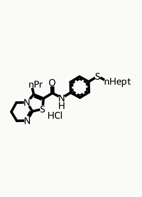 CCCCCCCSc1ccc(NC(=O)C2=C(CCC)N3CCCN=C3S2)cc1.Cl